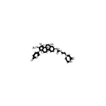 CC(=O)O[C@H]1[C@H]2O[C@]23[C@@H]2CC[C@]4(O)C[C@@H](NC(=O)OCCN5CCNC(=O)C5)CC[C@]4(C)[C@H]2CC[C@]3(C)[C@H]1c1ccc(=O)oc1